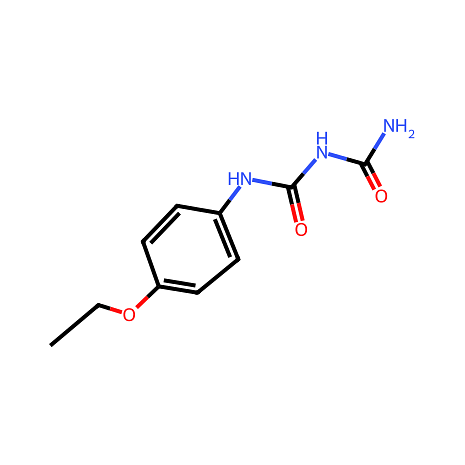 CCOc1ccc(NC(=O)NC(N)=O)cc1